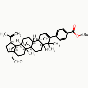 C=C(C)[C@@H]1CC[C@]2(CC=O)CC[C@]3(C)[C@H](CC[C@@H]4[C@@]5(C)CC=C(c6ccc(C(=O)OC(C)(C)C)cc6)C(C)(C)[C@@H]5CC[C@]43C)[C@@H]12